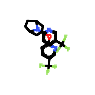 FC(F)(F)c1ccc(OC2CC3CCC(C2)N3c2ccc(C(F)(F)F)cn2)nc1